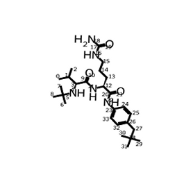 CC(C)[C@H](NC(C)(C)C)C(=O)N[C@@H](CCCNC(N)=O)C(=O)Nc1ccc(CC(C)(C)C)cc1